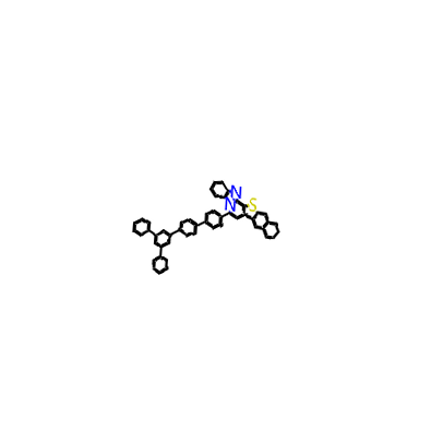 c1ccc(-c2cc(-c3ccccc3)cc(-c3ccc(-c4ccc(-c5cc6c7cc8ccccc8cc7sc6c6nc7ccccc7n56)cc4)cc3)c2)cc1